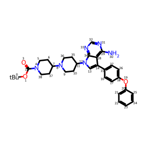 CC(C)(C)OC(=O)N1CCC(N2CCC(n3cc(-c4ccc(Oc5ccccc5)cc4)c4c(N)ncnc43)CC2)CC1